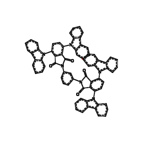 O=C1c2c(-n3c4ccccc4c4ccccc43)ccc(-n3c4ccccc4c4ccccc43)c2C(=O)N1c1cccc(N2C(=O)c3c(-n4c5ccccc5c5ccccc54)ccc(-n4c5ccccc5c5ccccc54)c3C2=O)c1